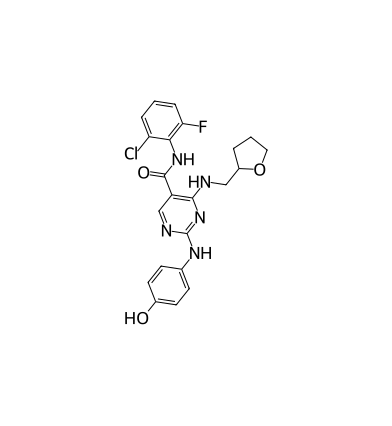 O=C(Nc1c(F)cccc1Cl)c1cnc(Nc2ccc(O)cc2)nc1NCC1CCCO1